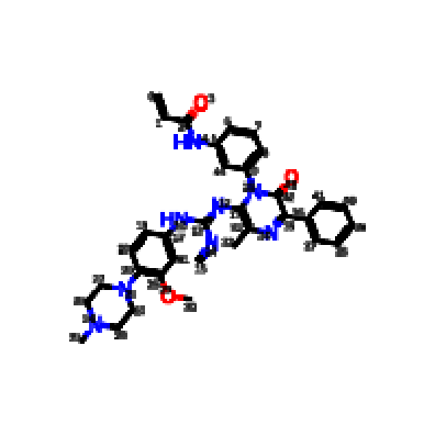 C=CC(=O)Nc1cccc(-n2c(/N=C(\N=C)Nc3ccc(N4CCN(C)CC4)c(OC)c3)c(C)nc(-c3ccccc3)c2=O)c1